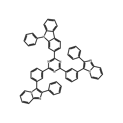 c1ccc(-c2nc3ccccn3c2-c2cccc(-c3nc(-c4cccc(-c5c(-c6ccccc6)nc6ccccn56)c4)nc(-c4ccc5c6ccccc6n(-c6ccccc6)c5c4)n3)c2)cc1